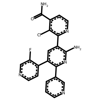 NC(=O)c1ccnc(-c2cc(-c3ccncc3F)c(-c3cccnc3)nc2N)c1Cl